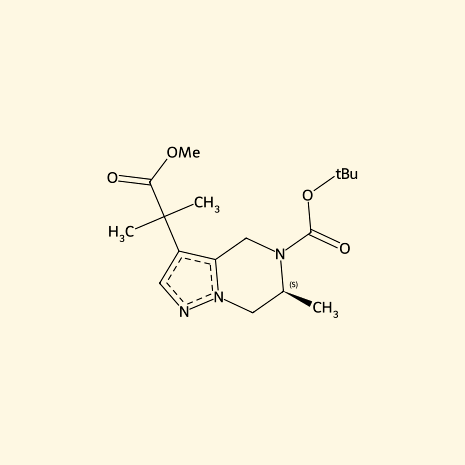 COC(=O)C(C)(C)c1cnn2c1CN(C(=O)OC(C)(C)C)[C@@H](C)C2